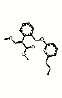 CCCc1cccc(OCc2ccccc2/C(=C\OC)C(=O)OC)n1